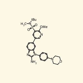 COc1ncc(-c2ccc3nc(N)n(-c4ccc(N5CCOCC5)cc4)c3c2)cc1S(=O)(=O)N(C)C(C)(C)C